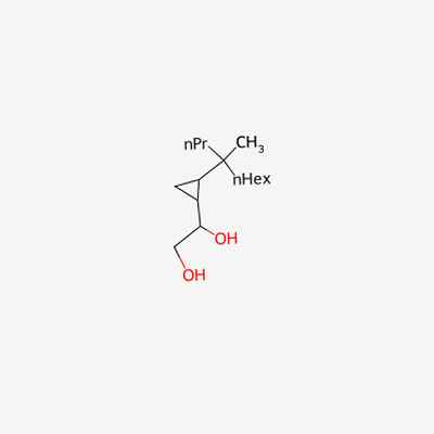 CCCCCCC(C)(CCC)C1CC1C(O)CO